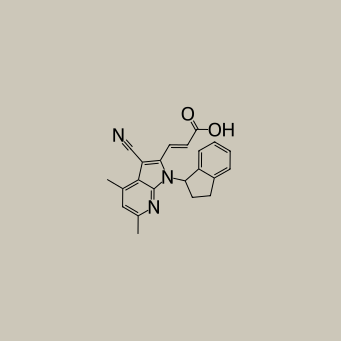 Cc1cc(C)c2c(C#N)c(C=CC(=O)O)n(C3CCc4ccccc43)c2n1